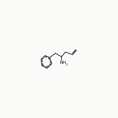 C=CCC(N)Cc1ccccc1